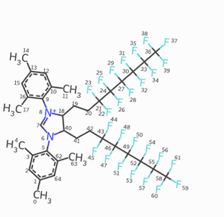 Cc1cc(C)c(N2C=[N+](c3c(C)cc(C)cc3C)C(CCC(F)(F)C(F)(F)C(F)(F)C(F)(F)C(F)(F)C(F)(F)F)C2CCC(F)(F)C(F)(F)C(F)(F)C(F)(F)C(F)(F)C(F)(F)F)c(C)c1